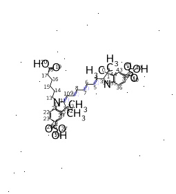 CC1(C)C(/C=C/C=C/C=C/C=C2/N(CCCCCC(=O)O)c3ccc(S(=O)(=O)O)cc3C2(C)C)=Nc2ccc(S(=O)(=O)O)cc21